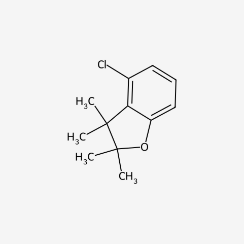 CC1(C)Oc2cccc(Cl)c2C1(C)C